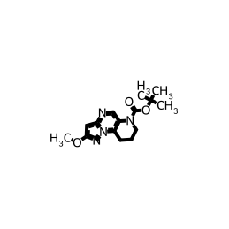 COc1cc2ncc3c(n2n1)CCCN3C(=O)OC(C)(C)C